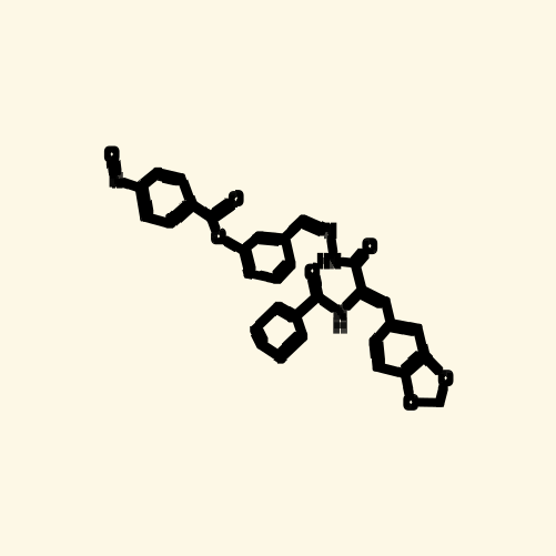 O=Nc1ccc(C(=O)Oc2cccc(/C=N\NC(=O)/C(=C/c3ccc4c(c3)OCO4)NC(=O)c3ccccc3)c2)cc1